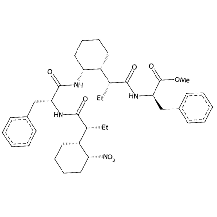 CC[C@@H](C(=O)N[C@H](Cc1ccccc1)C(=O)N[C@@H]1CCCC[C@@H]1[C@@H](CC)C(=O)N[C@H](Cc1ccccc1)C(=O)OC)[C@H]1CCCC[C@H]1[N+](=O)[O-]